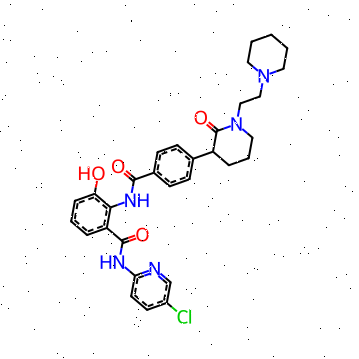 O=C(Nc1c(O)cccc1C(=O)Nc1ccc(Cl)cn1)c1ccc(C2CCCN(CCN3CCCCC3)C2=O)cc1